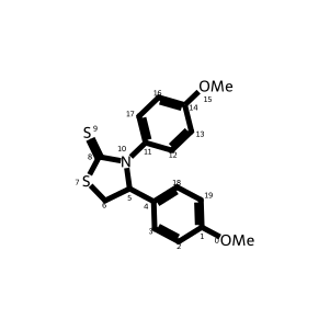 COc1ccc(C2CSC(=S)N2c2ccc(OC)cc2)cc1